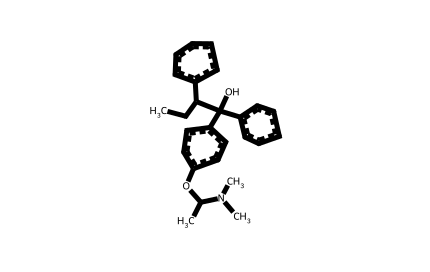 CCC(c1ccccc1)C(O)(c1ccccc1)c1ccc(OC(C)N(C)C)cc1